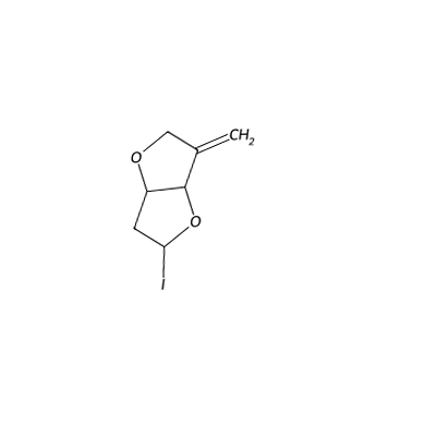 C=C1COC2CC(I)OC12